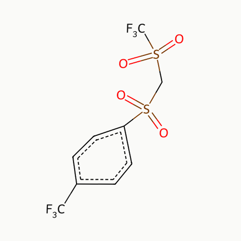 O=S(=O)(CS(=O)(=O)C(F)(F)F)c1ccc(C(F)(F)F)cc1